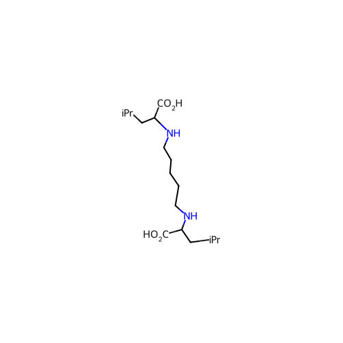 CC(C)CC(NCCCCCNC(CC(C)C)C(=O)O)C(=O)O